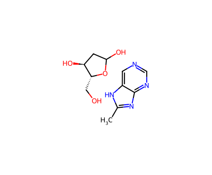 Cc1nc2ncncc2[nH]1.OC[C@H]1OC(O)C[C@@H]1O